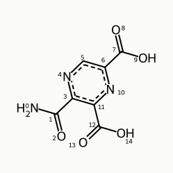 NC(=O)c1ncc(C(=O)O)nc1C(=O)O